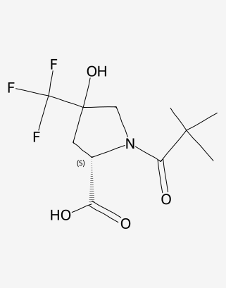 CC(C)(C)C(=O)N1CC(O)(C(F)(F)F)C[C@H]1C(=O)O